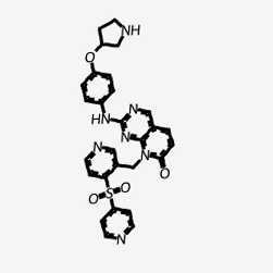 O=c1ccc2cnc(Nc3ccc(OC4CCNC4)cc3)nc2n1Cc1cnccc1S(=O)(=O)c1ccncc1